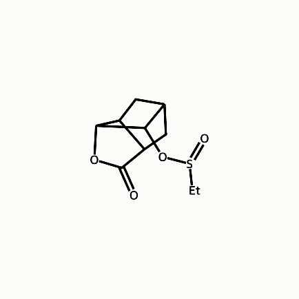 CCS(=O)OC1C2CC3C(=O)OC1C3C2